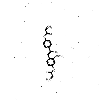 C=CC(=O)Oc1ccc(/C(C)=C/c2ccc(OC(=O)C=C)cc2OC)cc1